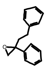 c1ccc(CCC2(c3ccccc3)CO2)cc1